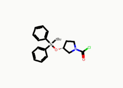 CC(C)(C)[Si](O[C@@H]1CCN(C(=O)Cl)C1)(c1ccccc1)c1ccccc1